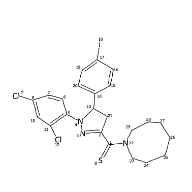 S=C(C1=NN(c2ccc(Cl)cc2Cl)C(c2ccc(I)cc2)C1)N1CCCCCCC1